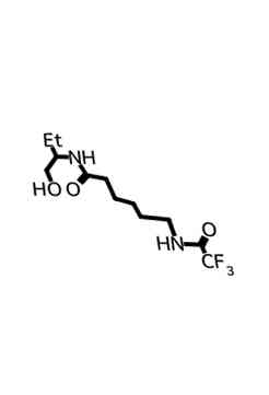 CCC(CO)NC(=O)CCCCCNC(=O)C(F)(F)F